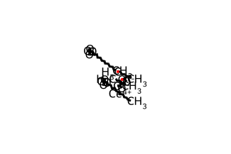 CCCCC(CC)C(=O)[O-].CCCCC(CC)C(=O)[O-].CCCCCCCCCCCCOS(=O)(=O)[O-].CCCCCCCCCCCCOS(=O)(=O)[O-].[Ce+4]